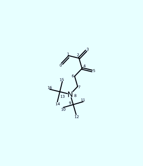 C=CC(=C)C(=C)CCN(C(C)(C)C)C(C)(C)C